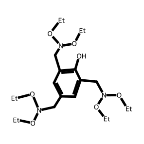 CCON(Cc1cc(CN(OCC)OCC)c(O)c(CN(OCC)OCC)c1)OCC